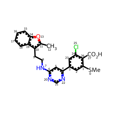 CSc1cc(-c2cc(NCCc3c(C)oc4ccccc34)ncn2)cc(Cl)c1C(=O)O